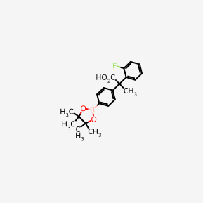 CC(C(=O)O)(c1ccc(B2OC(C)(C)C(C)(C)O2)cc1)c1ccccc1F